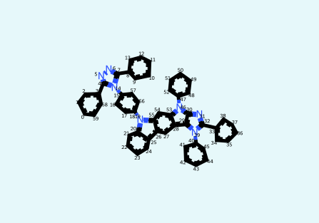 c1ccc(-c2nnc(-c3ccccc3)n2-c2ccc(-n3c4ccccc4c4cc5c6c(nc(-c7ccccc7)n6-c6ccccc6)n(-c6ccccc6)c5cc43)cc2)cc1